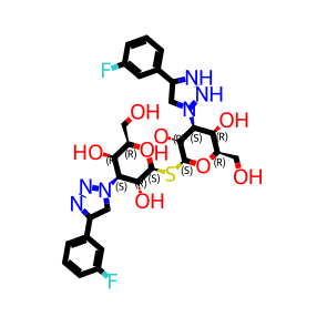 OC[C@H]1O[C@@H](S[C@@H]2O[C@H](CO)[C@H](O)[C@H](N3CC(c4cccc(F)c4)NN3)[C@H]2O)[C@H](O)[C@@H](N2CC(c3cccc(F)c3)N=N2)[C@H]1O